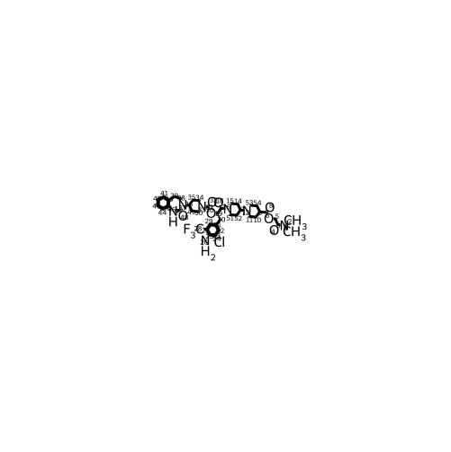 CN(C)C(=O)COC(=O)C1CCN(C2CCN(C(=O)[C@@H](Cc3cc(Cl)c(N)c(C(F)(F)F)c3)OC(=O)N3CCC(N4CCc5ccccc5NC4=O)CC3)CC2)CC1